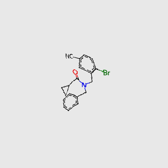 N#Cc1ccc(Br)c(CN(Cc2ccccc2)C(=O)C2CC2)c1